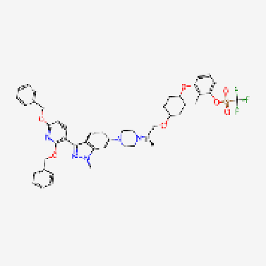 Cc1c(OC2CCC(OC[C@@H](C)N3CCN(c4ccc5c(-c6ccc(OCc7ccccc7)nc6OCc6ccccc6)nn(C)c5c4)CC3)CC2)cccc1OS(=O)(=O)C(F)(F)F